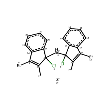 CCC1=C(C)C(Cl)([SiH2]C2(Cl)C(C)=C(CC)c3ccccc32)c2ccccc21.[Zr]